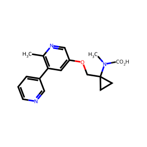 Cc1ncc(OCC2(N(C)C(=O)O)CC2)cc1-c1cccnc1